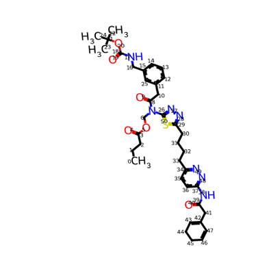 CCCC(=O)OCN(C(=O)Cc1cccc(CNC(=O)OC(C)(C)C)c1)c1nnc(CCCCc2ccc(NC(=O)CC3=CCCC=C3)nn2)s1